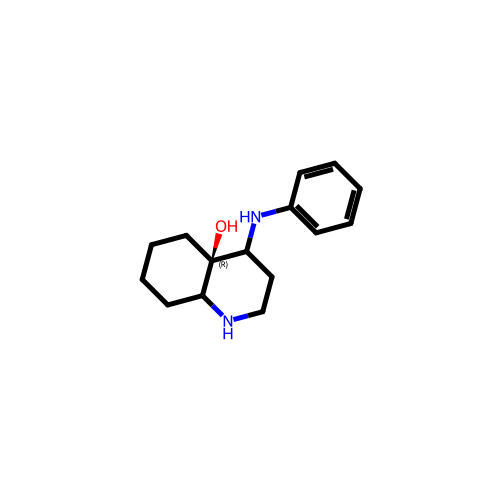 O[C@]12CCCCC1NCCC2Nc1ccccc1